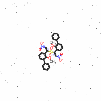 COc1c(/C(=C\[N+](=O)[O-])S(=O)(=O)/C(=C/[N+](=O)[O-])c2cccc(-c3ccccc3)c2OC)cccc1-c1ccccc1